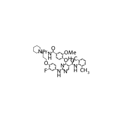 COc1cc(C(=O)NC(C)C)ccc1Oc1nc(Nc2ccc(OCCCN3CCCCC3)c(F)c2)ncc1C(=O)Nc1c(C)cccc1C